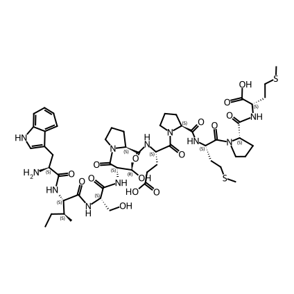 CC[C@H](C)[C@H](NC(=O)[C@@H](N)Cc1c[nH]c2ccccc12)C(=O)N[C@@H](CO)C(=O)N[C@H](C(=O)N1CCC[C@H]1C(=O)N[C@@H](CCC(=O)O)C(=O)N1CCC[C@H]1C(=O)N[C@@H](CCSC)C(=O)N1CCC[C@H]1C(=O)N[C@@H](CCSC)C(=O)O)[C@@H](C)O